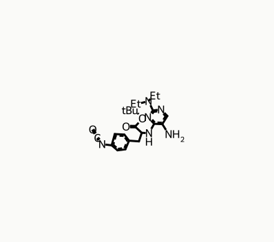 CCN(CC)c1ncc(N)c(NC(Cc2ccc(N=C=O)cc2)C(=O)OC(C)(C)C)n1